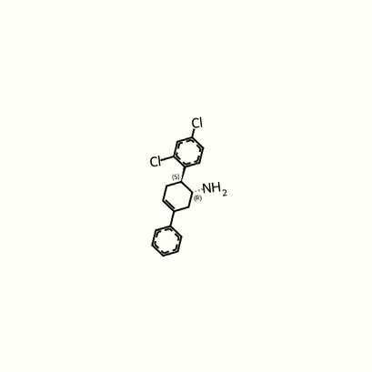 N[C@@H]1CC(c2ccccc2)=CC[C@H]1c1ccc(Cl)cc1Cl